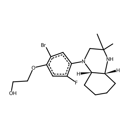 CC1(C)CN(c2cc(Br)c(OCCO)cc2F)[C@H]2CCCC[C@H]2N1